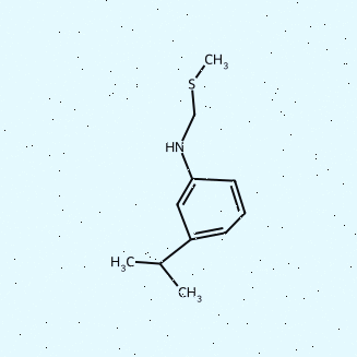 CSCNc1cccc(C(C)C)c1